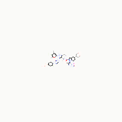 Cc1cc(-n2nc3c(c2-n2ccn(-c4ccc(P(C)(C)=O)cc4F)c2=O)C(C)N(C(=O)c2cc4cc(C5CCOCC5)ccc4n2C2(c4noc(=O)[nH]4)CC2C)CC3)cc(C)c1F